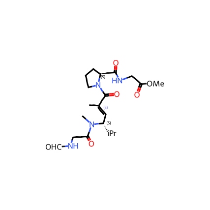 COC(=O)CNC(=O)[C@@H]1CCCN1C(=O)/C(C)=C/[C@H](C(C)C)N(C)C(=O)CNC=O